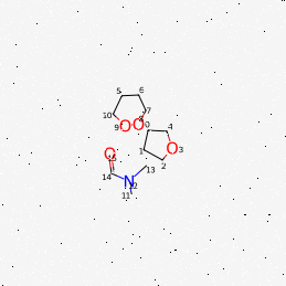 C1CCOC1.C1CCOOC1.CN(C)C=O